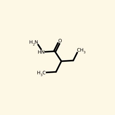 CC[C](CC)C(=O)NN